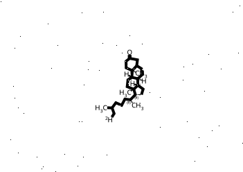 [2H]CC(C)CCC[C@@H](C)[C@H]1CC[C@H]2[C@@H]3CCC4CC(=O)CC[C@]4(C)[C@H]3CC[C@]12C